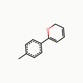 Cc1ccc(C2=CC=CCO2)cc1